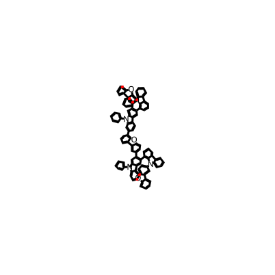 c1ccc(-n2c3ccccc3c3cc(-c4cccc5c6ccccc6n(-c6ccc7oc8ccccc8c7c6)c45)c(-c4ccc5oc6c(-c7ccc8c9cc(-c%10cccc%11c%12ccccc%12n(-c%12ccccc%12)c%10%11)c(-c%10ccc%11oc%12ccccc%12c%11c%10)cc9n(-c9ccccc9)c8c7)cccc6c5c4)cc32)cc1